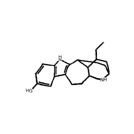 CCC1CC2CC3c4[nH]c5ccc(O)cc5c4CCC(N2)C13